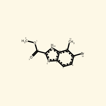 COC(=O)c1nc2ccc(Br)c(C)c2[nH]1